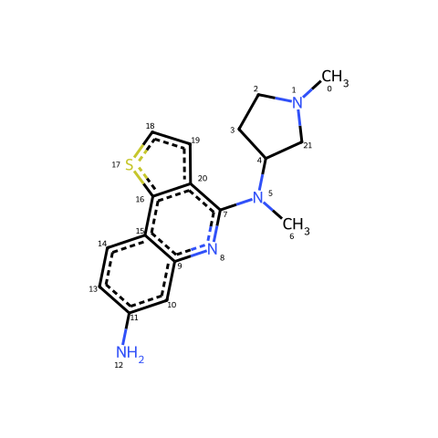 CN1CCC(N(C)c2nc3cc(N)ccc3c3sccc23)C1